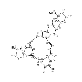 CC[C@H](C)[C@@H]1OC2(CC[C@@H]1C)C[C@@H]1C[C@@H](CCC(C)C(CC3C[C@@H](C)C(OC4C[C@@H](C)[C@@H](C)[C@@H](OC)C4)[C@H](OC)C3)[C@@H](C)/C=C/C=C3\CCC4C(O)C(C)=CC(C(=O)O1)C34)O2